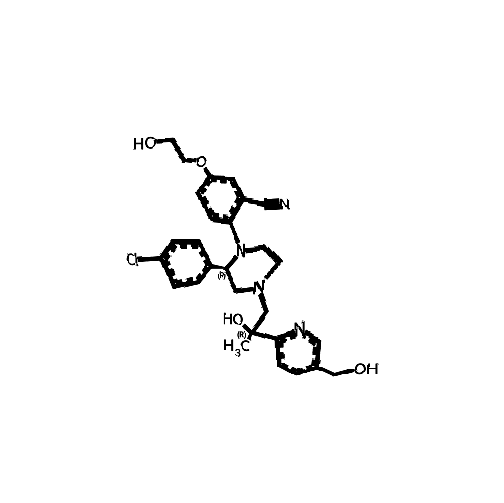 C[C@@](O)(CN1CCN(c2ccc(OCCO)cc2C#N)[C@H](c2ccc(Cl)cc2)C1)c1ccc(CO)cn1